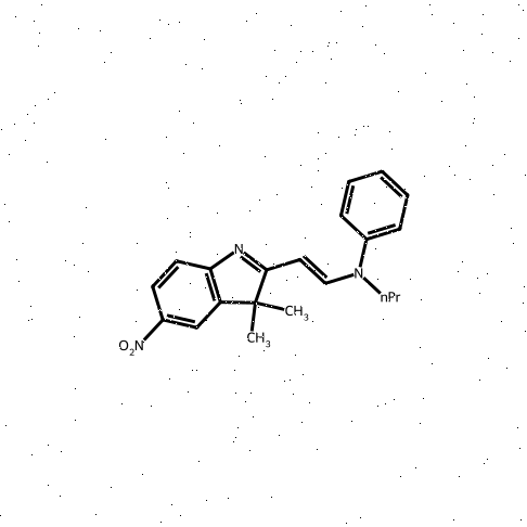 CCCN(C=CC1=Nc2ccc([N+](=O)[O-])cc2C1(C)C)c1ccccc1